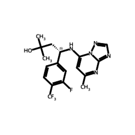 Cc1cc(N[C@@H](CC(C)(C)O)c2ccc(C(F)(F)F)c(F)c2)n2ncnc2n1